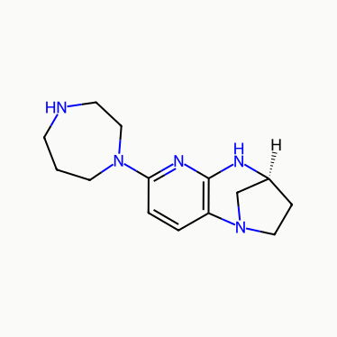 c1cc2c(nc1N1CCCNCC1)N[C@H]1CCN2C1